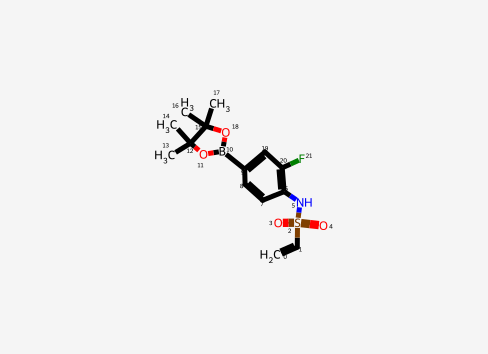 C=CS(=O)(=O)Nc1ccc(B2OC(C)(C)C(C)(C)O2)cc1F